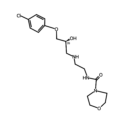 O=C(NCCNC[C@H](O)COc1ccc(Cl)cc1)N1CCOCC1